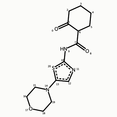 O=C1CCCCC1C(=O)Nc1ncc(N2CCOCC2)s1